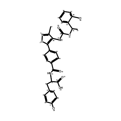 Cc1noc(-c2ccc(C(=O)NC(Cc3ccc(Cl)cc3)C(=O)O)cc2)c1NC(=O)OC(C)c1ccccc1Cl